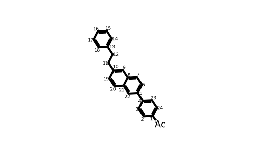 CC(=O)c1ccc(-c2ccc3cc(CCc4ccccc4)ccc3c2)cc1